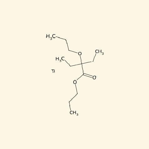 CCCOC(=O)C(CC)(CC)OCCC.[Ti]